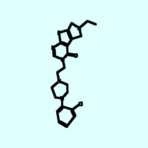 CCN1Cc2sc3ncn(CCN4CCN(c5ccccc5Cl)CC4)c(=O)c3c2C1